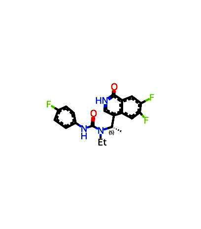 CCN(C(=O)Nc1ccc(F)cc1)[C@@H](C)c1c[nH]c(=O)c2cc(F)c(F)cc12